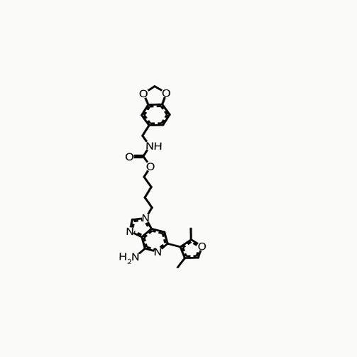 Cc1coc(C)c1-c1cc2c(ncn2CCCCOC(=O)NCc2ccc3c(c2)OCO3)c(N)n1